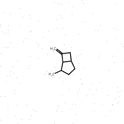 C=C1CC2CCC(C)C12